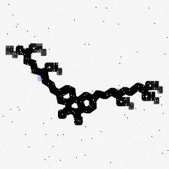 CC(C)=CCC/C(C)=C/CCC1=CCC2C(C1)C(=O)C(=O)C1CC=C(CC/C=C(\C)CCC=C(C)C)CC12